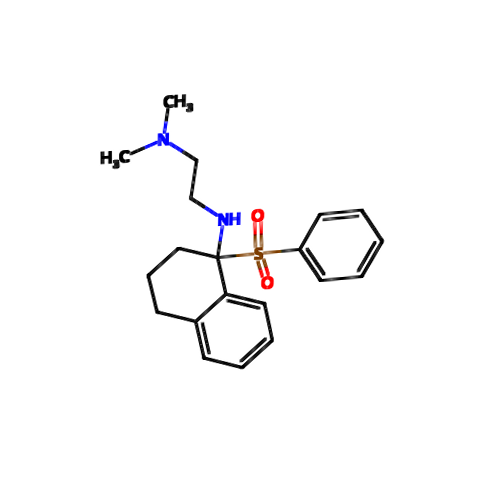 CN(C)CCNC1(S(=O)(=O)c2ccccc2)CCCc2ccccc21